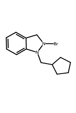 BrN1Cc2ccccc2N1CC1CCCC1